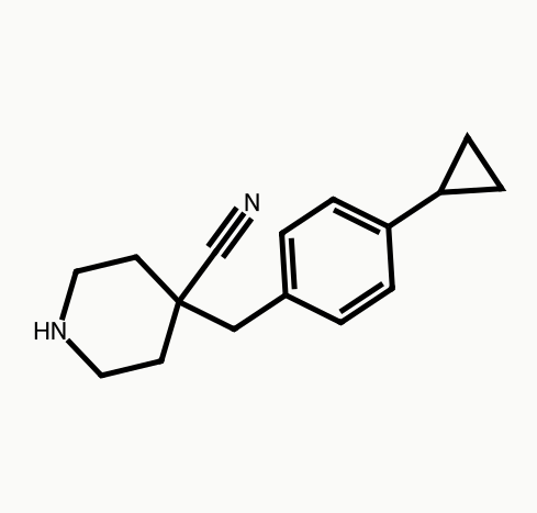 N#CC1(Cc2ccc(C3CC3)cc2)CCNCC1